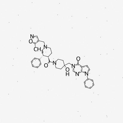 Cc1oncc1CN1CC[C@@H](C(=O)N2CCC(O)(Cn3cnc4c(ccn4-c4ccccc4)c3=O)CC2)[C@H](c2ccccc2)C1